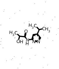 CC(O)C(=O)Nc1cc(C(C)C)cnn1